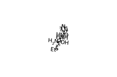 CCSCC[C@@H](N)C(O)C(=O)NNC(=O)c1ccncn1